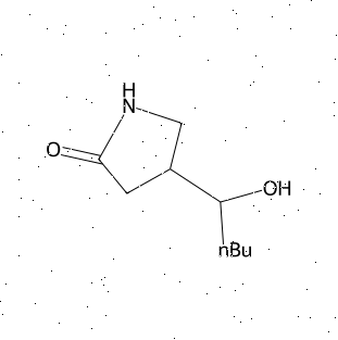 CCCCC(O)C1CNC(=O)C1